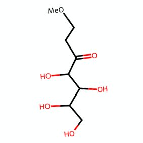 COCCC(=O)C(O)C(O)C(O)CO